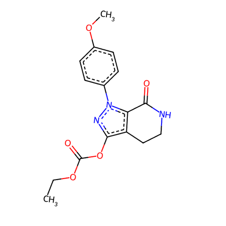 CCOC(=O)Oc1nn(-c2ccc(OC)cc2)c2c1CCNC2=O